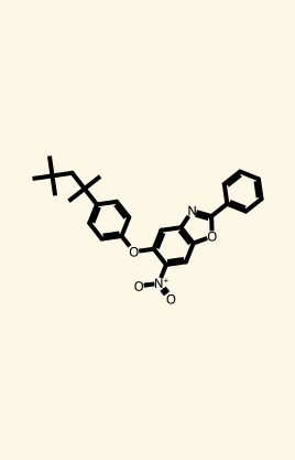 CC(C)(C)CC(C)(C)c1ccc(Oc2cc3nc(-c4ccccc4)oc3cc2[N+](=O)[O-])cc1